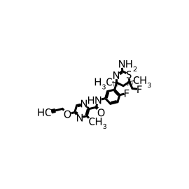 C#CCOc1cnc(C(=O)Nc2ccc(F)c([C@]3(C)C[C@](C)(CF)SC(N)=N3)c2)c(C)n1